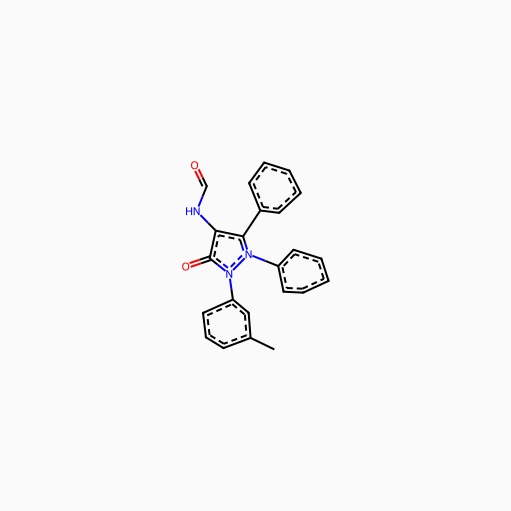 Cc1cccc(-n2c(=O)c(NC=O)c(-c3ccccc3)n2-c2ccccc2)c1